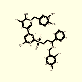 Cc1cc(C2=CN(Cc3ccc(Cl)c(Cl)c3)C(O)C(F)=C2)nc(S(=O)(=O)CCC(OCc2ccc(F)cc2F)c2ccccc2)n1